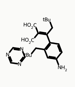 CC(C)(C)CC(=C(C(=O)O)C(=O)O)c1ccc(N)cc1CC(C)(C)C.c1ncncn1